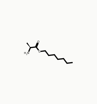 CCCCCCCOC(=O)[C@H](C)N